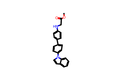 COC(=O)CNc1ccc(-c2ccc(-n3ccc4ccccc43)cc2)cc1